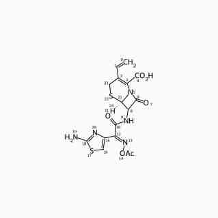 C=CC1=C(C(=O)O)N2C(=O)C(NC(=O)C(=NOC(C)=O)c3csc(N)n3)[C@H]2SC1